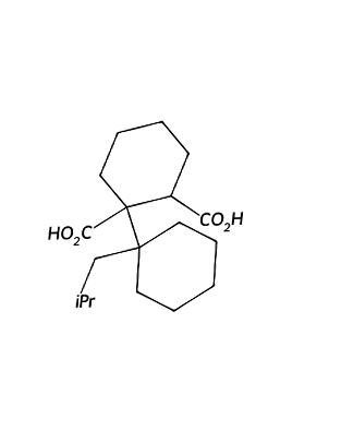 CC(C)CC1(C2(C(=O)O)CCCCC2C(=O)O)CCCCC1